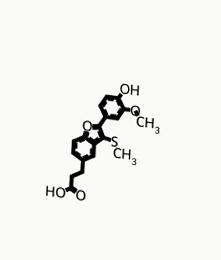 COc1cc(-c2oc3ccc(CCC(=O)O)cc3c2SC)ccc1O